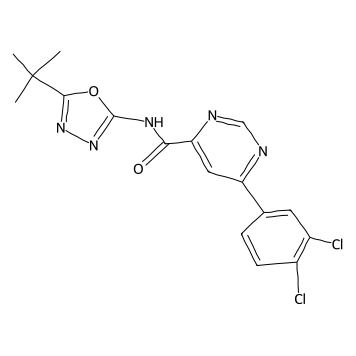 CC(C)(C)c1nnc(NC(=O)c2cc(-c3ccc(Cl)c(Cl)c3)ncn2)o1